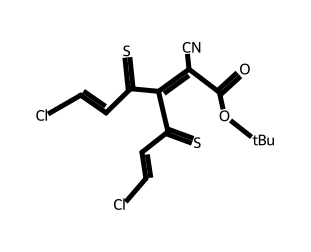 CC(C)(C)OC(=O)C(C#N)=C(C(=S)C=CCl)C(=S)C=CCl